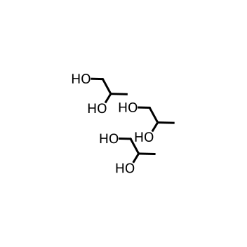 CC(O)CO.CC(O)CO.CC(O)CO